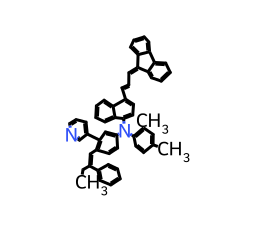 CC/C(=C/c1ccc(N(c2ccc(C)cc2C)c2ccc(/C=C/C=C3c4ccccc4-c4ccccc43)c3ccccc23)cc1-c1cccnc1)c1ccccc1